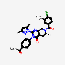 CNC(=O)c1ccc(-n2c(-n3nc(C)cc3C)nc3c(c2=O)C[C@@H](C)N(C(=O)c2ccc(Br)c(C(F)(F)F)c2)C3)cc1